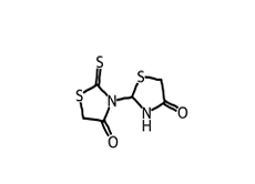 O=C1CSC(N2C(=O)CSC2=S)N1